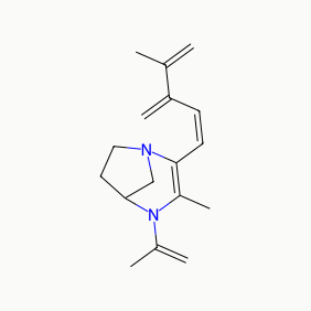 C=C(C)C(=C)/C=C\C1=C(C)N(C(=C)C)C2CCN1C2